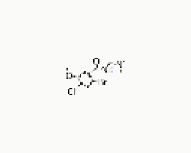 COc1cc(C(=O)/N=C/N(C)C)c(Br)cc1Cl